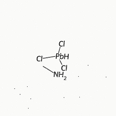 CN.[Cl][PbH]([Cl])[Cl]